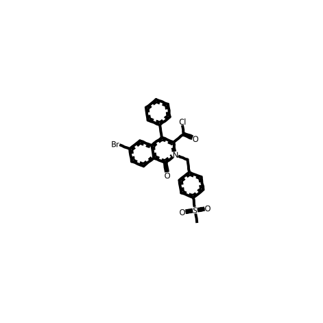 CS(=O)(=O)c1ccc(Cn2c(C(=O)Cl)c(-c3ccccc3)c3cc(Br)ccc3c2=O)cc1